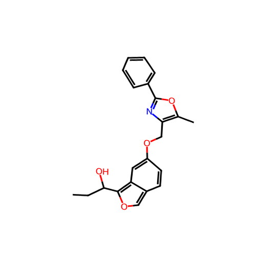 CCC(O)c1occ2ccc(OCc3nc(-c4ccccc4)oc3C)cc12